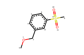 COCc1cccc(S(C)(=O)=O)c1